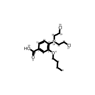 CCCCOc1cc(C(=O)O)ccc1N(CCCl)CCCl